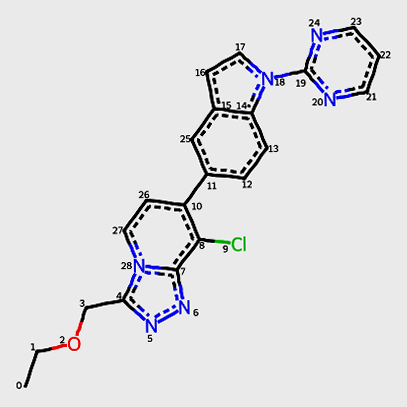 CCOCc1nnc2c(Cl)c(-c3ccc4c(ccn4-c4ncccn4)c3)ccn12